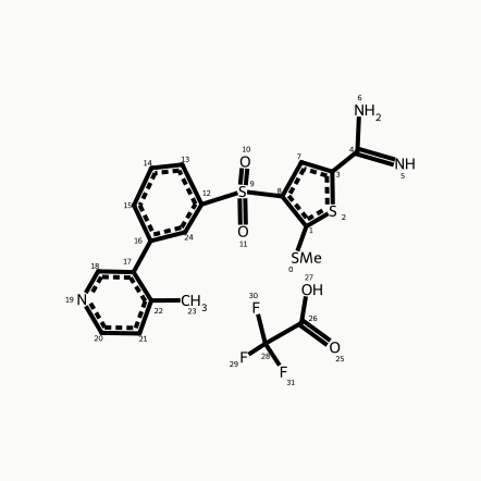 CSc1sc(C(=N)N)cc1S(=O)(=O)c1cccc(-c2cnccc2C)c1.O=C(O)C(F)(F)F